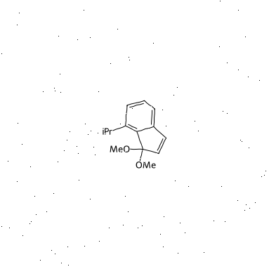 COC1(OC)C=Cc2cccc(C(C)C)c21